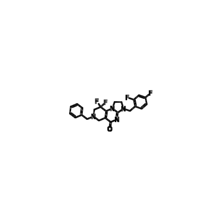 O=c1nc2n(c3c1CN(Cc1ccccc1)CC3(F)F)CCN2Cc1ccc(F)cc1F